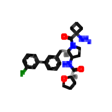 NC1(C(=O)N2CCC(NC(=O)[C@@H]3CCCO3)[C@@H]2Cc2cccc(-c3cccc(F)c3)c2)CCC1